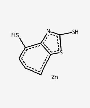 Sc1nc2c(S)cccc2s1.[Zn]